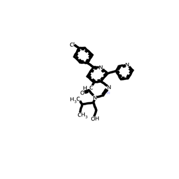 Cc1cc(-c2ccc(Cl)cc2)nc(-c2cccnc2)c1/N=C\N(C=O)C(CO)C(C)C